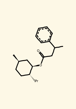 CC(CC(=O)O[C@@H]1C[C@H](C)CC[C@H]1C(C)C)c1ccccc1